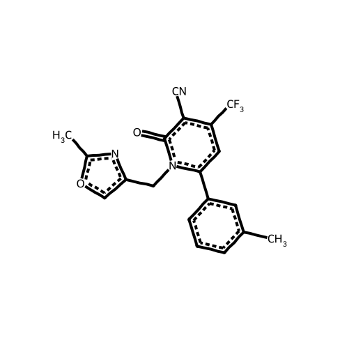 Cc1cccc(-c2cc(C(F)(F)F)c(C#N)c(=O)n2Cc2coc(C)n2)c1